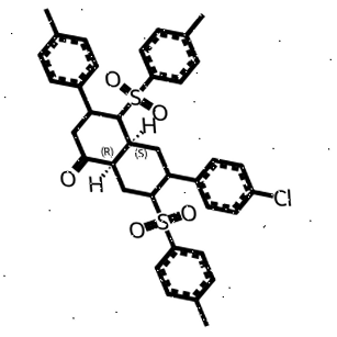 Cc1ccc(C2CC(=O)[C@@H]3CC(S(=O)(=O)c4ccc(C)cc4)C(c4ccc(Cl)cc4)C[C@@H]3C2S(=O)(=O)c2ccc(C)cc2)cc1